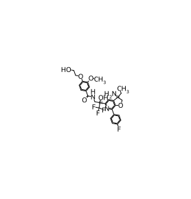 CC[C@@]1(N)COc2c1cc([C@@](O)(CNC(=O)c1ccc(OCCO)c(OC)c1)C(F)(F)F)nc2-c1ccc(F)cc1